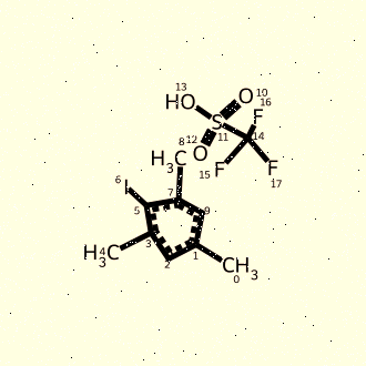 Cc1cc(C)c(I)c(C)c1.O=S(=O)(O)C(F)(F)F